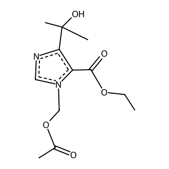 CCOC(=O)c1c(C(C)(C)O)ncn1COC(C)=O